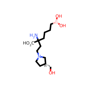 NC(CCCCB(O)O)(CCN1CC[C@@H](CO)C1)C(=O)O